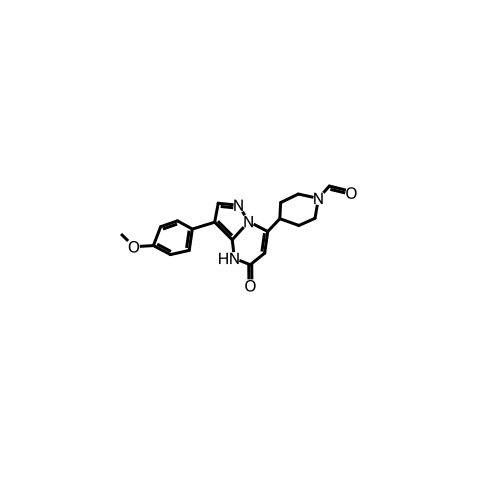 COc1ccc(-c2cnn3c(C4CCN(C=O)CC4)cc(=O)[nH]c23)cc1